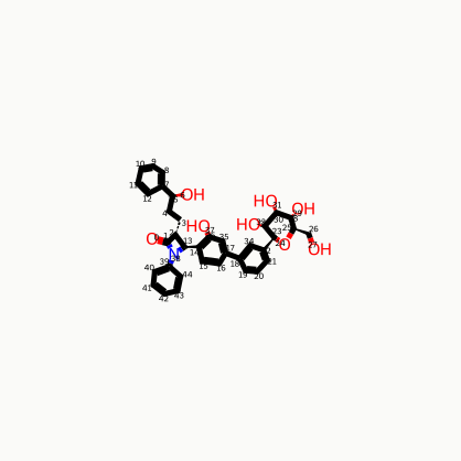 O=C1[C@H](CC[C@H](O)c2ccccc2)[C@@H](c2ccc(-c3cccc([C@@H]4O[C@H](CO)[C@@H](O)[C@H](O)[C@H]4O)c3)cc2O)N1c1ccccc1